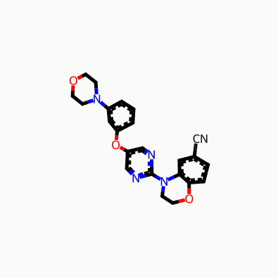 N#Cc1ccc2c(c1)N(c1ncc(Oc3cccc(N4CCOCC4)c3)cn1)CCO2